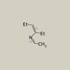 C/C=N\C(=C/CC)CC